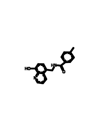 Cc1ccc(C(=O)NCc2ccc(O)c3ncccc23)cc1